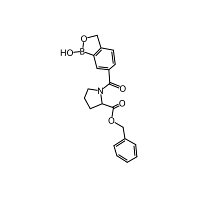 O=C(OCc1ccccc1)C1CCCN1C(=O)c1ccc2c(c1)B(O)OC2